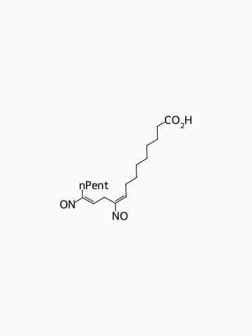 CCCCC/C(=C\C/C(=C\CCCCCCCC(=O)O)N=O)N=O